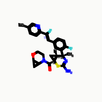 C[C@]1(c2cc(/C=C(\F)c3ccc(C#N)cn3)ccc2F)N=C(N)S[C@@]2(C(=O)N3CCOC4CC43)C[C@H]21